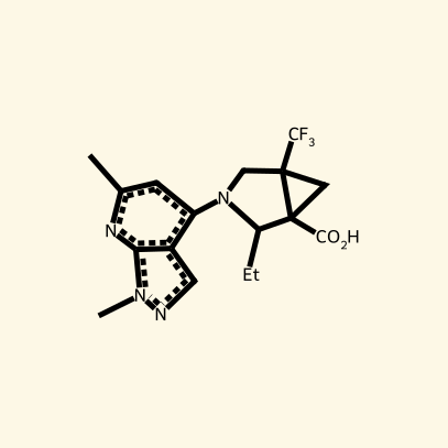 CCC1N(c2cc(C)nc3c2cnn3C)CC2(C(F)(F)F)CC12C(=O)O